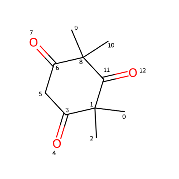 CC1(C)C(=O)CC(=O)C(C)(C)C1=O